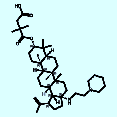 C=C(C)[C@@H]1CC[C@]2(NCCN3CCCCC3)CC[C@]3(C)[C@H](CC[C@@H]4[C@@]5(C)CC[C@H](OC(=O)C(C)(C)CC(=O)O)C(C)(C)[C@@H]5CC[C@]43C)[C@@H]12